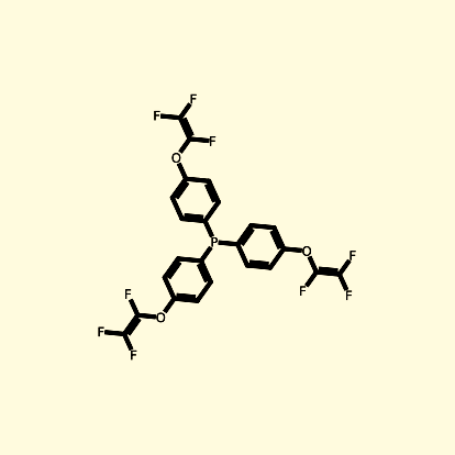 FC(F)=C(F)Oc1ccc(P(c2ccc(OC(F)=C(F)F)cc2)c2ccc(OC(F)=C(F)F)cc2)cc1